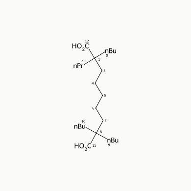 CCCCC(CCC)(CCCCCC(CCCC)(CCCC)C(=O)O)C(=O)O